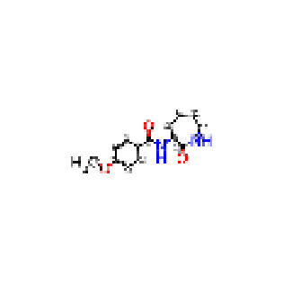 COc1ccc(C(=O)N[C@H]2CCCCNC2=O)cc1